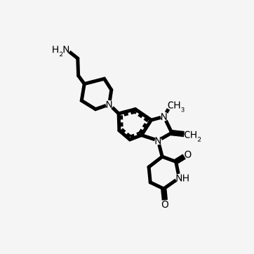 C=C1N(C)c2cc(N3CCC(CCN)CC3)ccc2N1C1CCC(=O)NC1=O